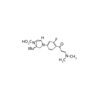 CN(C)C=CC(=O)c1ccc(N2C[C@@]3(C(C)(C)C)C[C@H]2CN3C(=O)O)cc1F